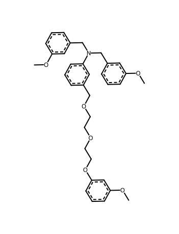 COc1cccc(CN(Cc2cccc(OC)c2)c2cccc(COCCOCCOc3cccc(OC)c3)c2)c1